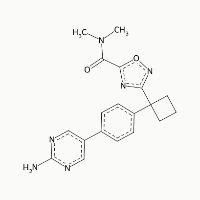 CN(C)C(=O)c1nc(C2(c3ccc(-c4cnc(N)nc4)cc3)CCC2)no1